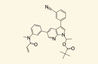 C=CC(=O)N(C)c1cccc(-c2cnc3c(c2)c(-c2cccc(C#N)c2)cn3C(C)OC(=O)C(C)(C)C)c1